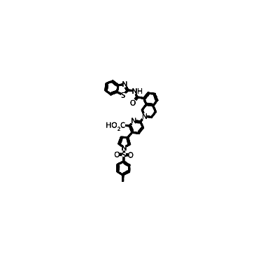 Cc1ccc(S(=O)(=O)n2ccc(-c3ccc(N4CCc5cccc(C(=O)Nc6nc7ccccc7s6)c5C4)nc3C(=O)O)c2)cc1